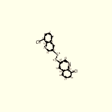 Clc1cccc2cc(SSc3cnc4c(Cl)cccc4c3)cnc12